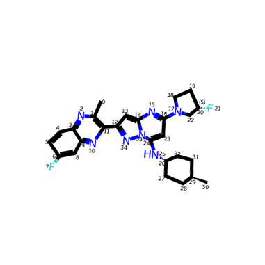 Cc1nc2ccc(F)cc2nc1-c1cc2nc(N3CC[C@H](F)C3)cc(N[C@H]3CC[C@H](C)CC3)n2n1